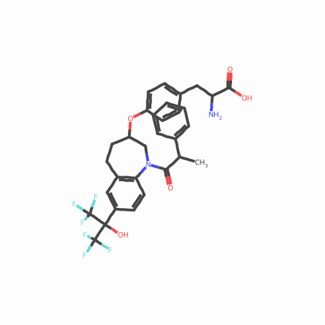 CC(C(=O)N1CC(Oc2ccc(CC(N)C(=O)O)cc2)CCc2cc(C(O)(C(F)(F)F)C(F)(F)F)ccc21)c1ccccc1